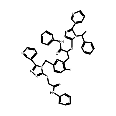 CC(c1ccccc1)n1c(SC(Cc2cc(Cn3c(SCC(=O)Nc4ccccc4)nnc3-c3cccnc3)ccc2F)C(=O)Nc2ccccc2)nnc1-c1cccnc1